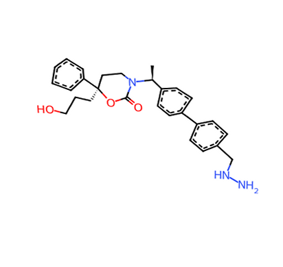 C[C@@H](c1ccc(-c2ccc(CNN)cc2)cc1)N1CC[C@](CCCO)(c2ccccc2)OC1=O